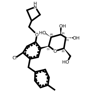 Cc1ccc(Cc2cc([C@@H]3O[C@H](CO)[C@@H](O)[C@H](O)[C@H]3O)c(OCC3CNC3)cc2Cl)cc1